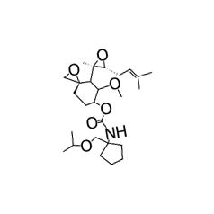 COC1C(OC(=O)NC2(COC(C)C)CCCC2)CC[C@]2(CO2)C1[C@@]1(C)O[C@@H]1CC=C(C)C